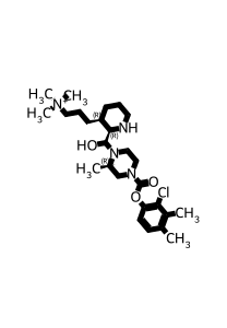 Cc1ccc(OC(=O)N2CCN(C(O)[C@@H]3NCCC[C@@H]3CCC[N+](C)(C)C)[C@H](C)C2)c(Cl)c1C